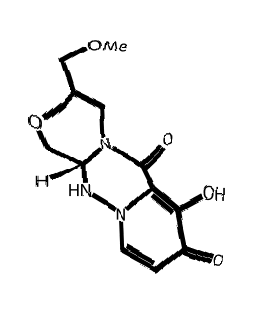 COCC1CN2C(=O)c3c(O)c(=O)ccn3N[C@@H]2CO1